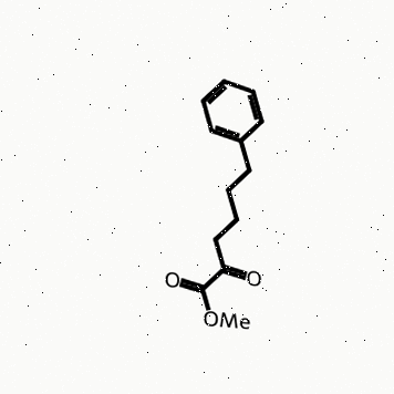 COC(=O)C(=O)CCCCc1ccccc1